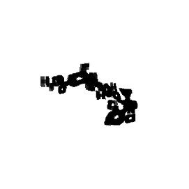 COC(=O)c1cc(F)c2nc(N3C[C@@H]4C[C@H]3C[C@H]4OCc3c(-c4c(Cl)cccc4Cl)noc3C3CC3)sc2c1